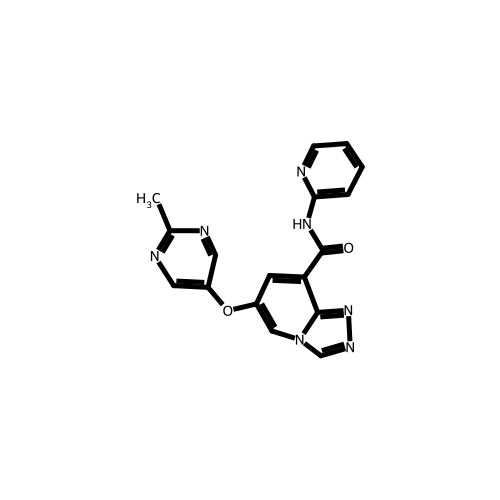 Cc1ncc(Oc2cc(C(=O)Nc3ccccn3)c3nncn3c2)cn1